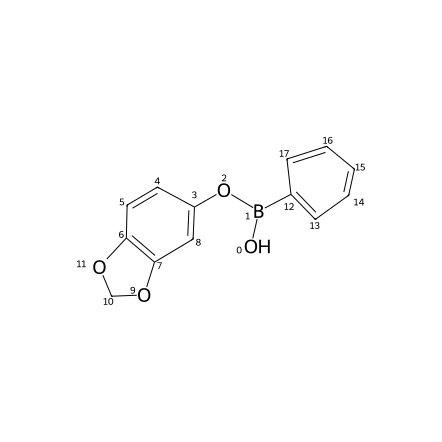 OB(Oc1ccc2c(c1)OCO2)c1ccccc1